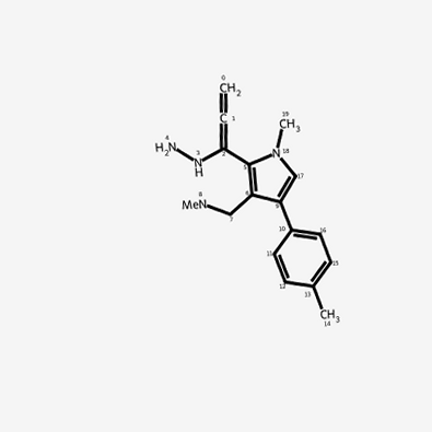 C=C=C(NN)c1c(CNC)c(-c2ccc(C)cc2)cn1C